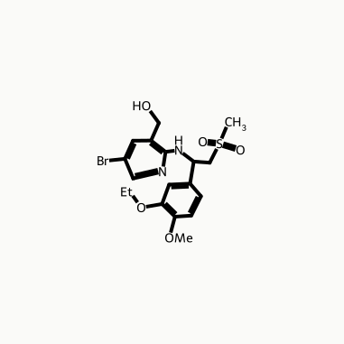 CCOc1cc(C(CS(C)(=O)=O)Nc2ncc(Br)cc2CO)ccc1OC